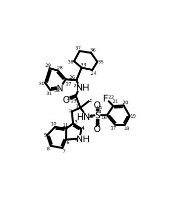 CC(Cc1c[nH]c2ccccc12)(NS(=O)(=O)c1ccccc1F)C(=O)NC(c1ccccn1)C1CCCCC1